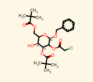 CC(C)(C)C(=O)OCC1O[C@@H](OCc2ccccc2)C(OC(=O)CCl)[C@@H](OC(=O)C(C)(C)C)[C@H]1O